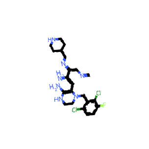 C=NCC(=N\CC1CCNCC1)/C(N)=C/C1=C(N)NCCN1Cc1c(Cl)ccc(F)c1Cl